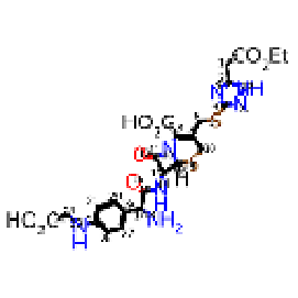 CCOC(=O)Cc1nc(SCC2=C(C(=O)O)N3C(=O)C(NC(=O)C(N)c4ccc(NCC(=O)O)cc4)[C@H]3SC2)n[nH]1